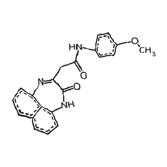 COc1ccc(NC(=O)CC2=Nc3cccc4cccc(c34)NC2=O)cc1